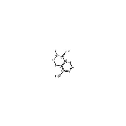 CN1CCc2c(N)cccc2C1=O